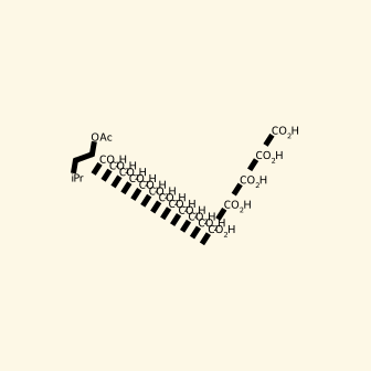 CC(=O)O.CC(=O)O.CC(=O)O.CC(=O)O.CC(=O)O.CC(=O)O.CC(=O)O.CC(=O)O.CC(=O)O.CC(=O)O.CC(=O)O.CC(=O)O.CC(=O)O.CC(=O)O.CC(=O)O.CC(=O)O.CC(=O)OCCC(C)C